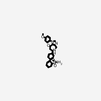 COc1ccc(-n2cnc3c2C(=O)CC(c2ccc(-c4ccccc4S(N)(=O)=O)cc2)NC3)cc1